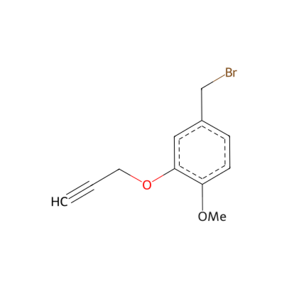 C#CCOc1cc(CBr)ccc1OC